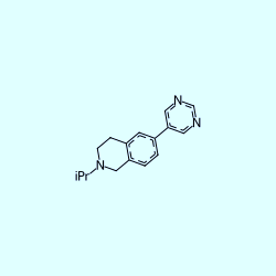 CC(C)N1CCc2cc(-c3cncnc3)ccc2C1